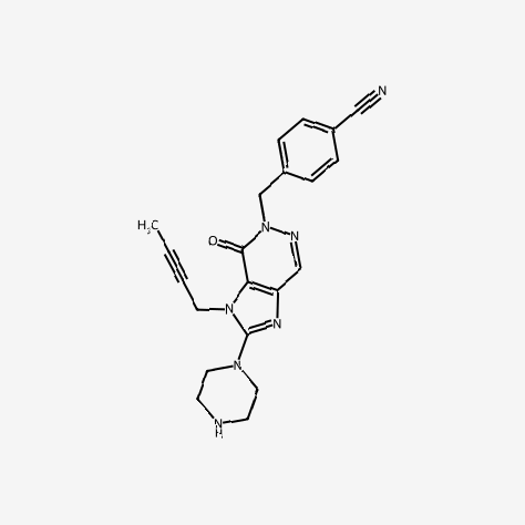 CC#CCn1c(N2CCNCC2)nc2cnn(Cc3ccc(C#N)cc3)c(=O)c21